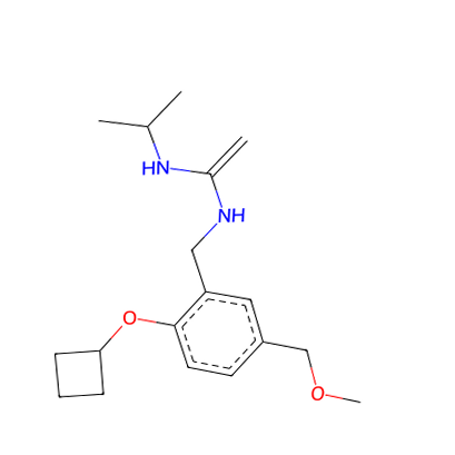 C=C(NCc1cc(COC)ccc1OC1CCC1)NC(C)C